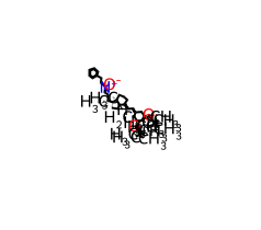 C=C1/C(=C\C=C2/CCC[C@]3(C)[C@@H]([C@H](C)C/C=[N+](\[O-])CCc4ccccc4)CC[C@@H]23)C[C@@H](O[Si](C)(C)C(C)(C)C)C[C@@H]1O[Si](C)(C)C(C)(C)C